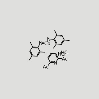 CC(=O)c1cccc(C(C)=O)n1.Cc1cc(C)c([N]=[Co]=[N]c2c(C)cc(C)cc2C)c(C)c1.Cl.Cl